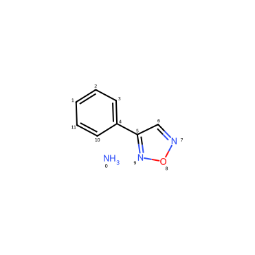 N.c1ccc(-c2cnon2)cc1